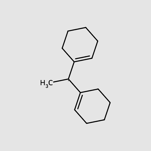 C[C](C1=CCCCC1)C1=CCCCC1